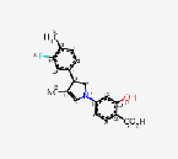 Cc1ccc(C2CN(c3ccc(C(=O)O)c(O)c3)C=C2C#N)cc1F